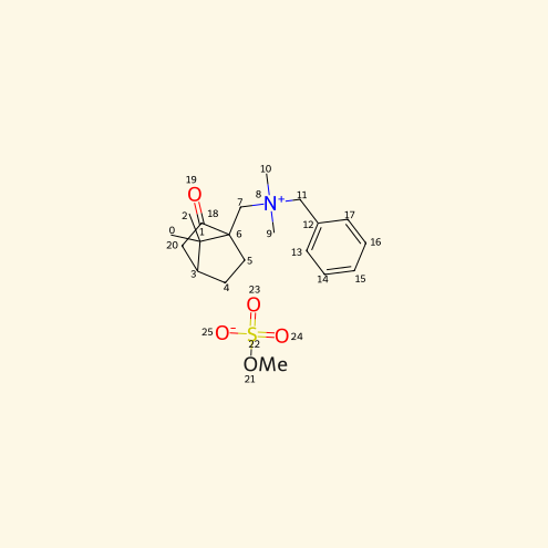 CC1(C)C2CCC1(C[N+](C)(C)Cc1ccccc1)C(=O)C2.COS(=O)(=O)[O-]